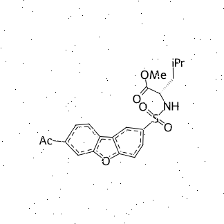 COC(=O)[C@H](CC(C)C)NS(=O)(=O)c1ccc2oc3cc(C(C)=O)ccc3c2c1